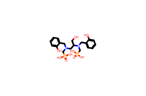 O=P(O)(O)CN(Cc1ccccc1O)CC(CO)N(Cc1ccccc1O)CP(=O)(O)O